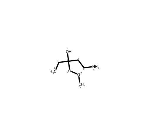 CCC(O)(CCN)OOC